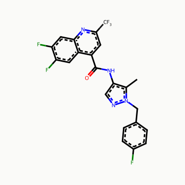 Cc1c(NC(=O)c2cc(C(F)(F)F)nc3cc(F)c(F)cc23)cnn1Cc1ccc(F)cc1